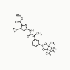 C[C@H](C(=O)Nc1cc(C2CC2)n(C(=O)OC(C)(C)C)n1)c1cccc(B2OC(C)(C)C(C)(C)O2)c1